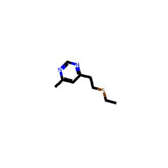 CCSCCc1cc(C)ncn1